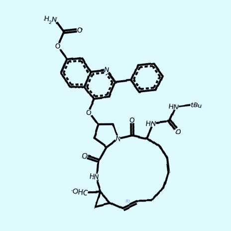 CC(C)(C)NC(=O)NC1CCCCC/C=C/C2CC2([C]=O)NC(=O)C2CC(Oc3cc(-c4ccccc4)nc4cc(OC(N)=O)ccc34)CN2C1=O